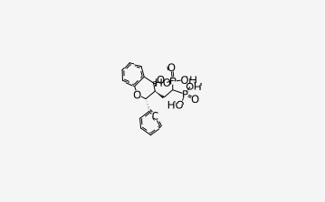 O=C1c2ccccc2O[C@@H](c2ccccc2)[C@@H]1CC(P(=O)(O)O)P(=O)(O)O